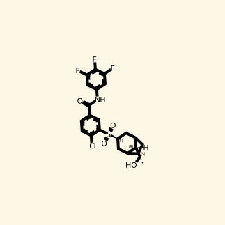 C[C@H]1CC2C[C@H](S(=O)(=O)c3cc(C(=O)Nc4cc(F)c(F)c(F)c4)ccc3Cl)CC1[C@@H]2CO